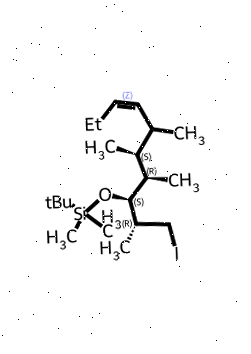 CC/C=C\C(C)[C@H](C)[C@@H](C)[C@H](O[Si](C)(C)C(C)(C)C)[C@@H](C)CI